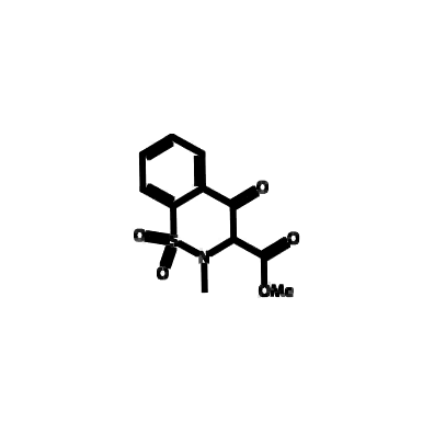 COC(=O)C1C(=O)c2ccccc2S(=O)(=O)N1C